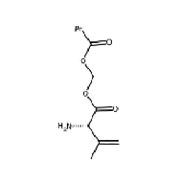 C=C(C)[C@H](N)C(=O)OCOC(=O)C(C)C